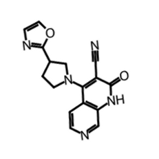 N#Cc1c(N2CCC(c3ncco3)C2)c2ccncc2[nH]c1=O